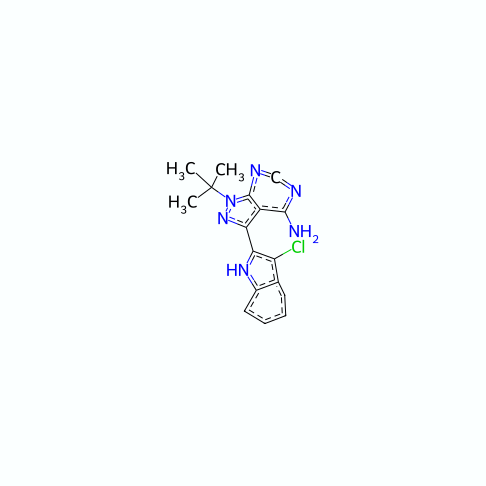 CC(C)(C)n1nc(-c2[nH]c3ccccc3c2Cl)c2c(N)ncnc21